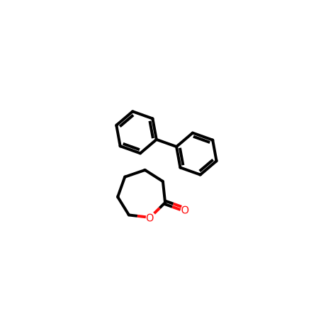 O=C1CCCCCO1.c1ccc(-c2ccccc2)cc1